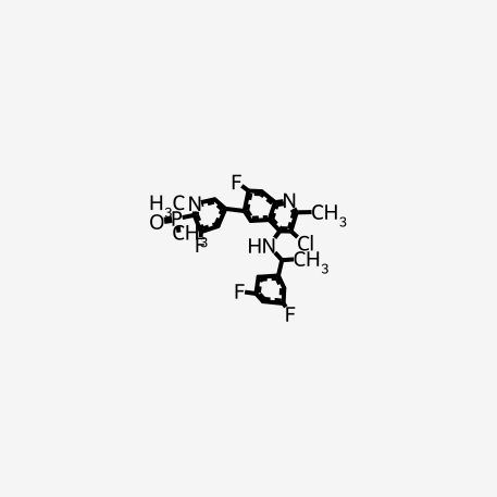 Cc1nc2cc(F)c(-c3cnc(P(C)(C)=O)c(F)c3)cc2c(NC(C)c2cc(F)cc(F)c2)c1Cl